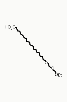 [CH2]COCCOCCOCCCCCCCCCCCCCCCCCCCC(=O)O